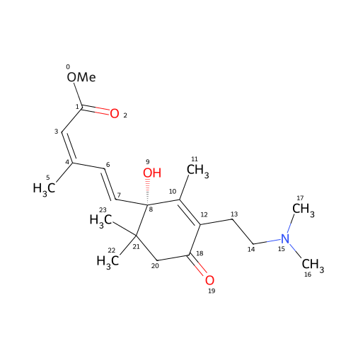 COC(=O)/C=C(C)\C=C\[C@@]1(O)C(C)=C(CCN(C)C)C(=O)CC1(C)C